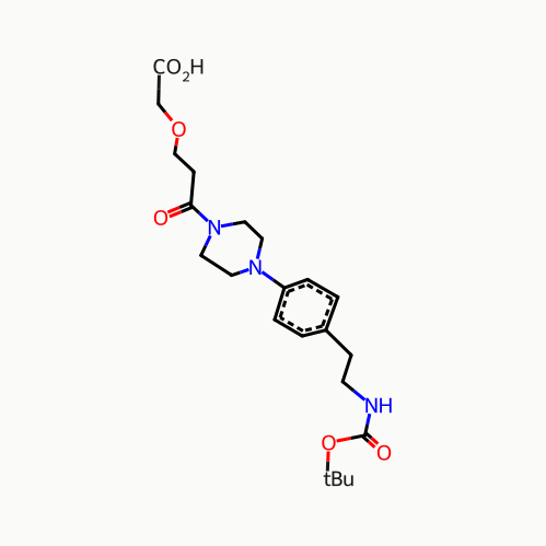 CC(C)(C)OC(=O)NCCc1ccc(N2CCN(C(=O)CCOCC(=O)O)CC2)cc1